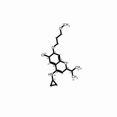 COCCCOC1C=C2OC(C(C)C)C=C(NC3CC3)C2=CC1Cl